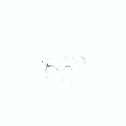 O=C(C1CCCCCCCC1)C1(C2CCCCCCCC2)CCN(Cc2ccccc2)C(C2CCCCCCCC2)(C2CCCCCCCC2)C1(C1CCCCCCCC1)C1CCCCCCCC1